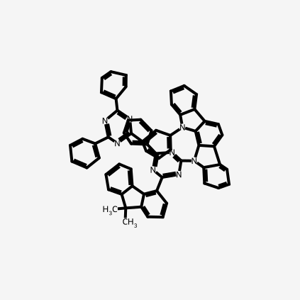 CC1(C)c2ccccc2-c2c(-c3nc(-c4ccccc4)nc(-n4c5ccccc5c5ccc6c7ccccc7n(-c7cccc(-c8nc(-c9ccccc9)nc(-c9ccccc9)n8)c7)c6c54)n3)cccc21